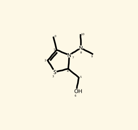 CC1=[C]SC(CO)N1N(C)C